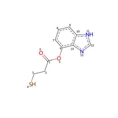 O=C(CCS)Oc1cccc2[nH]cnc12